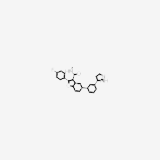 CNC(=O)c1c(-c2ccc(F)cc2)oc2ccc(-c3cccc(-c4ccn[nH]4)c3)cc12